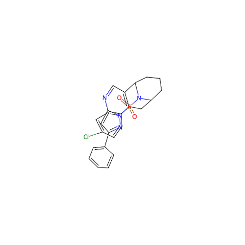 O=S(=O)(c1ccc(Cl)cc1)N1C2CCCC1c1cnc3cc(-c4ccccc4)nn3c1C2